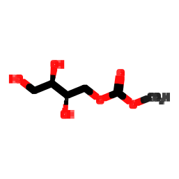 O=C(O)OC(=O)OC[C@H](O)[C@H](O)CO